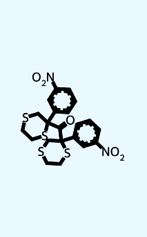 O=C(C1(c2cccc([N+](=O)[O-])c2)CSCCS1)C1(c2cccc([N+](=O)[O-])c2)CSCCS1